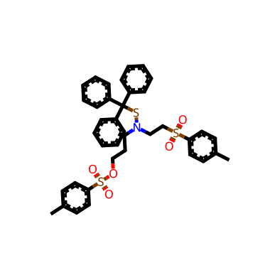 Cc1ccc(S(=O)(=O)CCN(CCCOS(=O)(=O)c2ccc(C)cc2)SC(c2ccccc2)(c2ccccc2)c2ccccc2)cc1